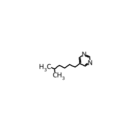 CC(C)CCCCc1cncnc1